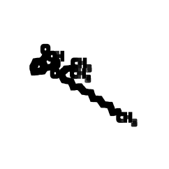 CCCCCCCCCCCCCC(CC(C)C)OC(=O)c1ccccc1C(=O)O